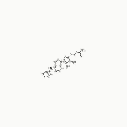 NC(=O)CCC[C@H]1O[C@@H](n2cnc3c(NC4CC5CCC4C5)ncnc32)C(O)C1O